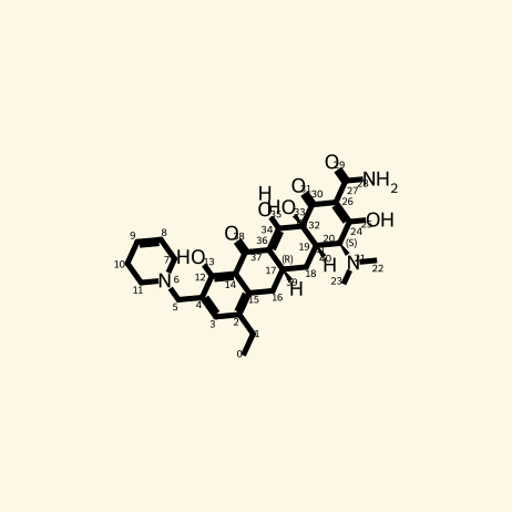 CCc1cc(CN2CC=CCC2)c(O)c2c1C[C@H]1C[C@H]3[C@H](N(C)C)C(O)=C(C(N)=O)C(=O)[C@@]3(O)C(O)=C1C2=O